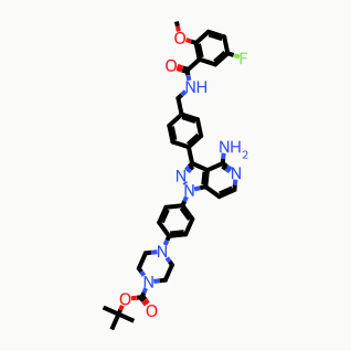 COc1ccc(F)cc1C(=O)NCc1ccc(-c2nn(-c3ccc(N4CCN(C(=O)OC(C)(C)C)CC4)cc3)c3ccnc(N)c23)cc1